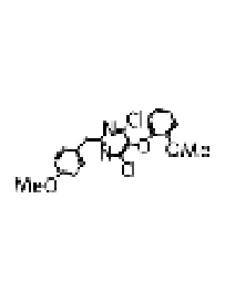 COc1ccc(Cc2nc(Cl)c(Oc3ccccc3OC)c(Cl)n2)cc1